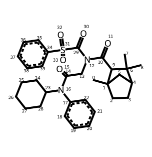 CC12CCC(C1)C(C)(C)C2C(=O)N(CC(=O)N(c1ccccc1)C1CCCCC1)C(=O)S(=O)(=O)c1ccccc1